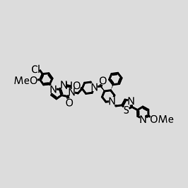 COc1ccc(-c2ncc(CN3CC[C@@H](C(=O)N4CCC(O)(Cn5cnc6c(ccn6-c6ccc(Cl)c(OC)c6)c5=O)CC4)[C@H](c4ccccc4)C3)s2)cn1